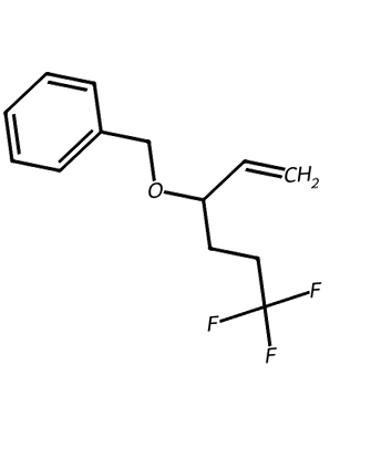 C=CC(CCC(F)(F)F)OCc1ccccc1